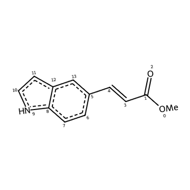 COC(=O)C=Cc1ccc2[nH]ccc2c1